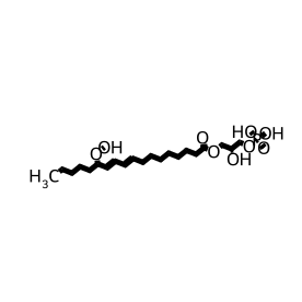 CCCCCC(C=CC=CCCCCCCCC(=O)OC[C@H](O)COP(=O)(O)O)OO